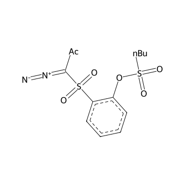 CCCCS(=O)(=O)Oc1ccccc1S(=O)(=O)C(=[N+]=[N-])C(C)=O